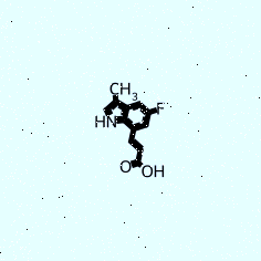 Cc1c[nH]c2c(C=CC(=O)O)cc(F)cc12